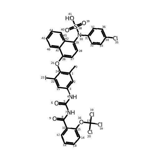 Cc1cc(NC(=O)NC(=O)c2ccccc2OC(Cl)(Cl)Cl)cc(I)c1Oc1ccc(N(c2ccc(Cl)cc2)S(=O)(=O)O)c2ccccc12